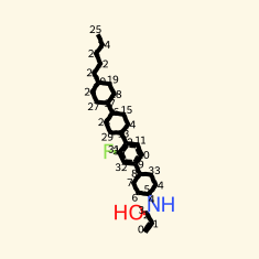 C=CC(O)NC1CCC(c2ccc(C3CCC(C4CCC(CCCCC)CC4)CC3)c(F)c2)CC1